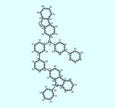 c1ccc(-c2ccc(N(c3cccc(-c4cccc(-c5ccc6c7ccccc7n(-c7ccccc7)c6c5)c4)c3)c3ccc4c(c3)oc3ccccc34)cc2)cc1